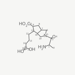 CC(N)C(=O)N1CC2CC(C(=O)O)C(CCCB(O)O)C2C1